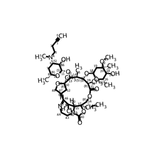 C#CCCN(C)[C@H]1C[C@@H](C)O[C@@H](O[C@@H]2[C@@H](C)[C@H](O[C@H]3C[C@@](C)(OC)[C@@H](O)[C@H](C)O3)[C@@H](C)C(=O)O[C@H](CC)[C@@]3(C)OC(=O)N4CCN=C([C@@H]5CO[C@]2(C)C5)[C@H](C)[C@@H]43)[C@@H]1O